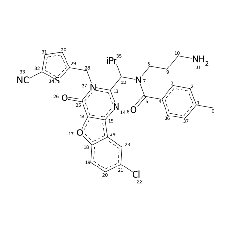 Cc1ccc(C(=O)N(CCCN)C(c2nc3c(oc4ccc(Cl)cc43)c(=O)n2Cc2ccc(C#N)s2)C(C)C)cc1